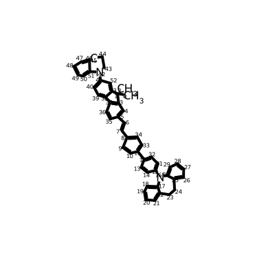 CC1(C)c2cc(/C=C/c3ccc(-c4ccc(N5c6ccccc6CCc6ccccc65)cc4)cc3)ccc2-c2ccc(N3CCCc4ccccc43)cc21